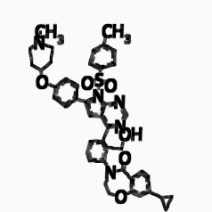 Cc1ccc(S(=O)(=O)n2c(-c3ccc(OC4CCN(C)CC4)cc3)cc3c(-c4cccc(N5CCOc6cc(C7CC7)ccc6C5=O)c4CO)ncnc32)cc1